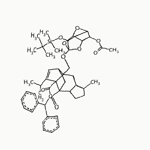 CC(=O)OC1C2OC3(OCC45CC6C(C)CCC6C6(C=O)CC4C=C(C(C)C)C65C(=O)OC(c4ccccc4)c4ccccc4)OC2OC1C3O[Si](C)(C)C(C)(C)C